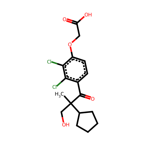 CC(CO)(C(=O)c1ccc(OCC(=O)O)c(Cl)c1Cl)C1CCCC1